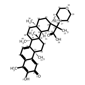 CC1=C(O)C(=O)C=C2C1=CC=C1[C@@]2(C)CC[C@@]2(C)[C@@H]3C[C@](C)(C(C)(C(=O)O)N4CCOCC4)CC[C@]3(C)CC[C@]12C